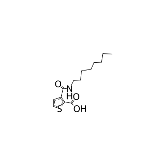 CCCCCCCCNC(=O)c1ccsc1C(=O)O